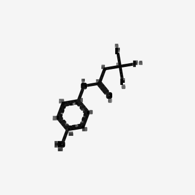 O=C(CC(F)(F)F)Oc1ccc(O)cc1